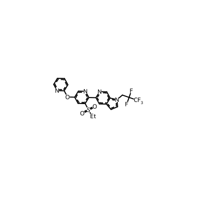 CCS(=O)(=O)c1cc(Oc2ccccn2)cnc1-c1cc2ccn(CC(F)(F)C(F)(F)F)c2cn1